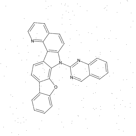 c1ccc2nc(-n3c4ccc5cccnc5c4c4ccc5c6ccccc6oc5c43)ncc2c1